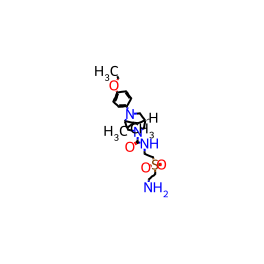 CCOc1ccc(N2C[C@H]3CN(C(=O)NCCS(=O)(=O)CCN)CC2C(C)(C)C3)cc1